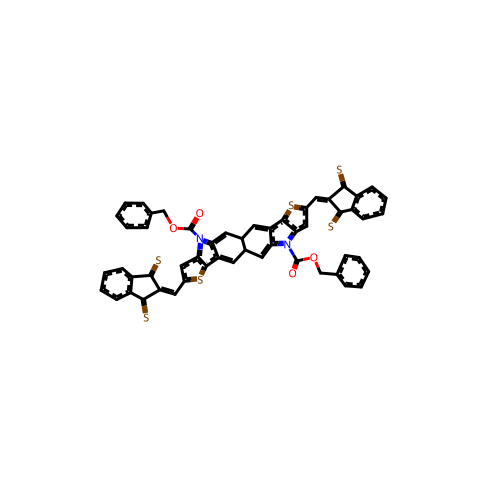 O=C(OCc1ccccc1)n1c2c(c3sc(C=C4C(=S)c5ccccc5C4=S)cc31)=CC1C=c3c(c4sc(C=C5C(=S)c6ccccc6C5=S)cc4n3C(=O)OCc3ccccc3)=CC1C=2